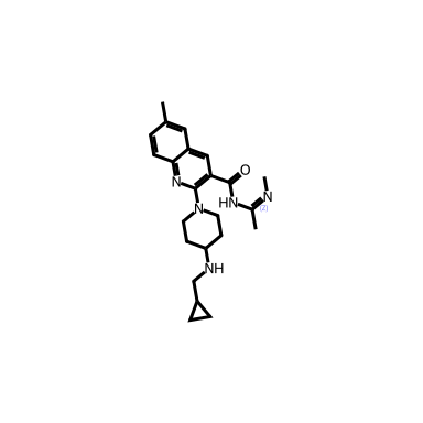 C/N=C(/C)NC(=O)c1cc2cc(C)ccc2nc1N1CCC(NCC2CC2)CC1